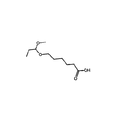 CCC(OC)OCCCCCC(=O)O